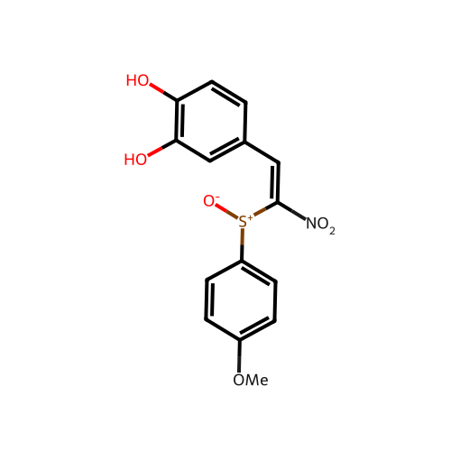 COc1ccc([S+]([O-])/C(=C\c2ccc(O)c(O)c2)[N+](=O)[O-])cc1